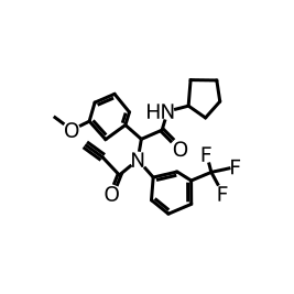 C#CC(=O)N(c1cccc(C(F)(F)F)c1)C(C(=O)NC1CCCC1)c1cccc(OC)c1